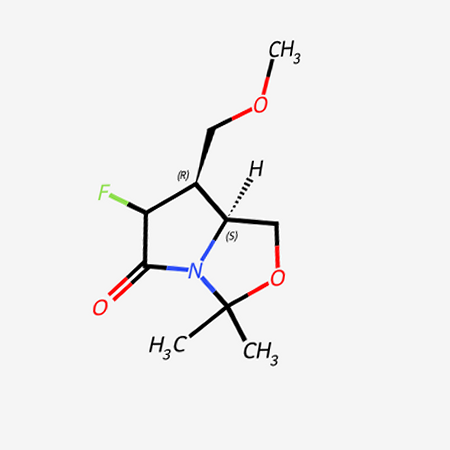 COC[C@@H]1C(F)C(=O)N2[C@@H]1COC2(C)C